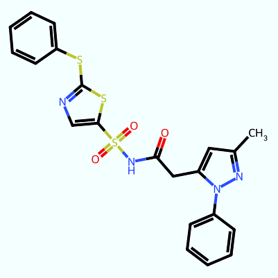 Cc1cc(CC(=O)NS(=O)(=O)c2cnc(Sc3ccccc3)s2)n(-c2ccccc2)n1